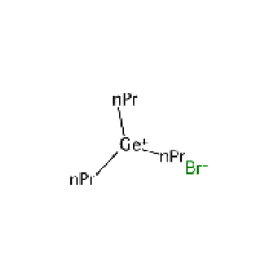 CC[CH2][Ge+]([CH2]CC)[CH2]CC.[Br-]